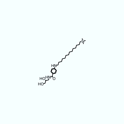 C[Si](C)(C)CCCCCCCCCCCCCCNc1ccc(C(=O)NCC(O)CO)cc1